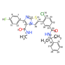 CNC(=O)c1c(-c2ccc(F)cc2)nc2sc(-c3cc(C(=O)NC(C)(C)c4ccccc4)ccc3Cl)cn12